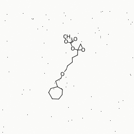 COC(=O)OC1(CCCCCOCCC2CCCCCC2)CO1